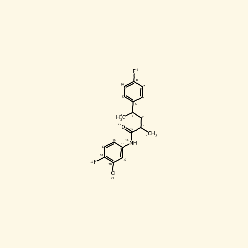 CC(CC(C)c1ccc(F)cc1)C(=O)Nc1ccc(F)c(Cl)c1